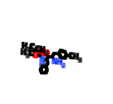 Cc1ccc(CC(N)C(O)C(Cc2ccccc2)NC(=O)OC(C)(C)C)cc1